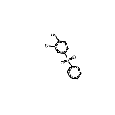 O=S(=O)(c1ccccc1)c1ccc(O)c(Br)c1